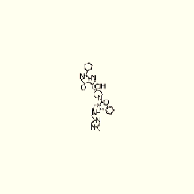 Cc1cnc(CN2CC[C@@H](C(=O)N3CCC(O)(CC4=C5C(=O)C=NC(c6ccccc6)=C5N=C4)CC3)[C@H](c3ccccc3)C2)cn1